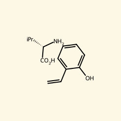 C=Cc1ccccc1O.CC(C)[C@H](N)C(=O)O